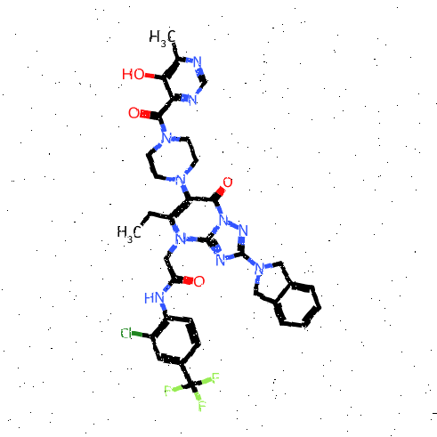 CCc1c(N2CCN(C(=O)c3ncnc(C)c3O)CC2)c(=O)n2nc(N3Cc4ccccc4C3)nc2n1CC(=O)Nc1ccc(C(F)(F)F)cc1Cl